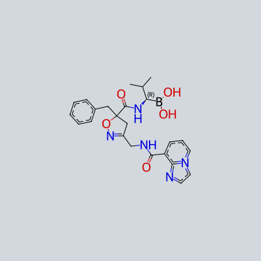 CC(C)[C@H](NC(=O)C1(Cc2ccccc2)CC(CNC(=O)c2cccn3ccnc23)=NO1)B(O)O